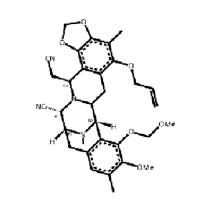 C=CCOc1c(C)c2c(c3c1CC1[C@@H]4c5c(cc(C)c(OC)c5OCOC)C[C@H]([C@H](C#N)N1[C@H]3CC#N)N4C)OCO2